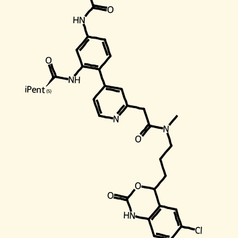 CCC[C@H](C)C(=O)Nc1cc(NC(=O)OC)ccc1-c1ccnc(CC(=O)N(C)CCCC2OC(=O)Nc3ccc(Cl)cc32)c1